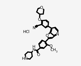 COc1cc(C(=O)NC2CCNCC2)ccc1-c1cc2nccc(-c3ccc(OC4CCOCC4)c(C#N)c3)c2o1.Cl